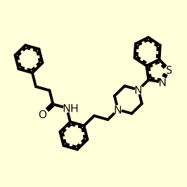 O=C(CCc1ccccc1)Nc1ccccc1CCN1CCN(c2nsc3ccccc23)CC1